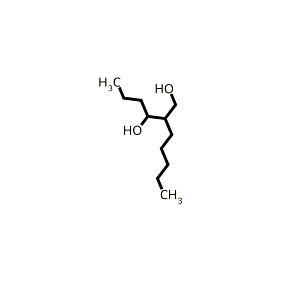 CCCCCC(CO)C(O)CCC